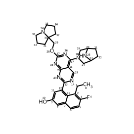 CCc1c(F)ccc2cc(O)cc(-c3ncc4c(N5CC6CCC(C5)N6)nc(OCC56CCCN5CCC6)nc4n3)c12